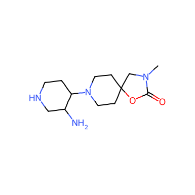 CN1CC2(CCN(C3CCNCC3N)CC2)OC1=O